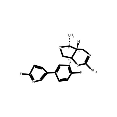 C[C@H]1OC[C@]2(c3cc(-c4ccc(F)nc4)ccc3F)SC(N)=NC[C@@H]12